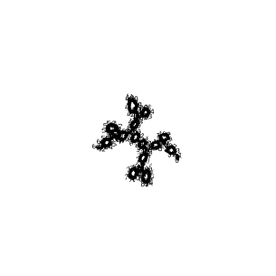 C=Cc1ccc(-n2c3ccccc3c3cc(N(c4ccc(-c5ccc(N(c6ccc(N(c7ccccc7)c7ccccc7)cc6)c6ccc7c(c6)c6ccccc6n7-c6ccc(C=C)cc6)cc5)cc4)c4ccc(N(c5ccccc5)c5ccccc5)cc4)ccc32)cc1